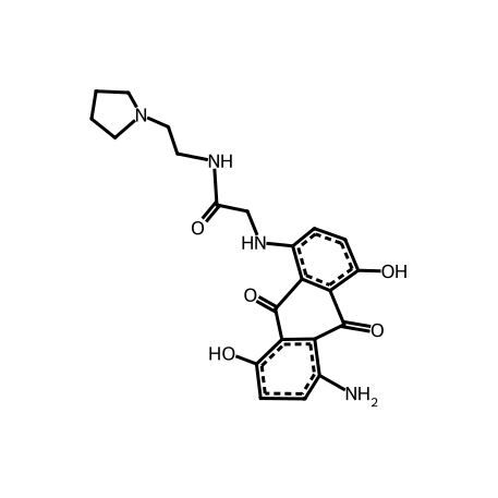 Nc1ccc(O)c2c1C(=O)c1c(O)ccc(NCC(=O)NCCN3CCCC3)c1C2=O